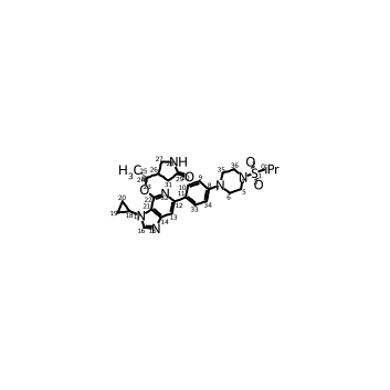 CC(C)S(=O)(=O)N1CCN(c2ccc(-c3cc4ncn(C5CC5)c4c(O[C@H](C)C4CNC(=O)C4)n3)cc2)CC1